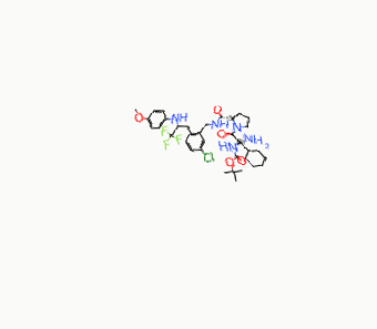 COc1ccc(NC(Cc2ccc(Cl)cc2CNC(=O)[C@@H]2CCCN2C(=O)[C@](N)(NC(=O)OC(C)(C)C)C2CCCCC2)C(F)(F)F)cc1